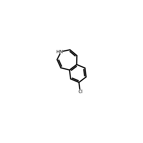 Clc1ccc2c(c1)C=CNC=C2